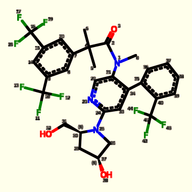 CN(C(=O)C(C)(C)c1cc(C(F)(F)F)cc(C(F)(F)F)c1)c1cnc(N2C[C@@H](O)C[C@H]2CO)cc1-c1ccccc1C(F)(F)F